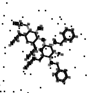 [N-]=[N+]=NC[C@H]1O[C@H](O[C@H]2[C@@H](O)[C@@H](CC(=O)O)[C@H](N=[N+]=[N-])C[C@@H]2N=[N+]=[N-])[C@H](OCc2ccccc2)[C@H](F)[C@@H]1OCc1ccccc1